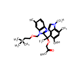 COC(=O)COC(c1c(OC)cc(C)c2c1ccn2C(=O)O)(c1nc2ccc(C#N)cc2n1COCC[Si](C)(C)C)C(F)(F)F